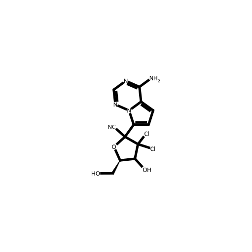 N#CC1(c2ccc3c(N)ncnn23)O[C@H](CO)C(O)C1(Cl)Cl